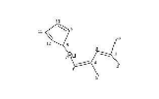 CC(C)=CC(C)=[CH][Ru][CH]1C=CC=C1